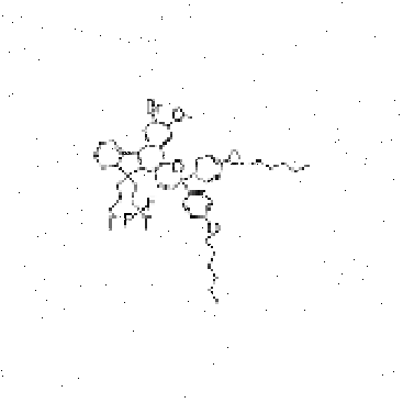 CCCCCCOc1ccc(C2(c3ccc(OCCCCCC)cc3)C=Cc3c4c(c5cc(Br)c(OC)cc5c3O2)-c2ccccc2C4(CCCF)CCC(F)(F)F)cc1